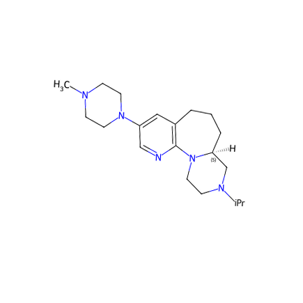 CC(C)N1CCN2c3ncc(N4CCN(C)CC4)cc3CCC[C@H]2C1